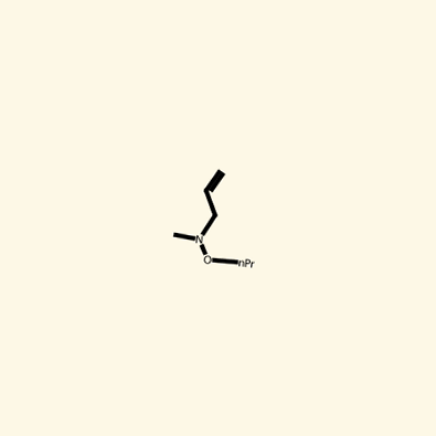 C=CCN(C)OCCC